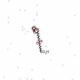 O=C(O)CCCCCCC(=O)C(=O)CCCCCCC1COOC2(CCCCC2)OOC1